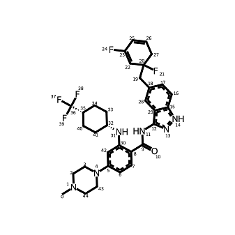 CN1CCN(c2ccc(C(=O)Nc3n[nH]c4ccc(CC5(F)C=C(F)C=CC5)cc34)c(N[C@H]3CC[C@@H](C(F)(F)F)CC3)c2)CC1